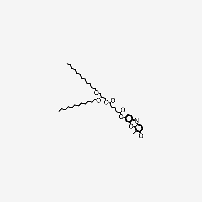 CCCCCCCCCCCCOCC(COC(=O)CCCC(=O)Oc1ccc2nc3ccc(=O)c(C)c-3oc2c1)OCCCCCCCCCCCC